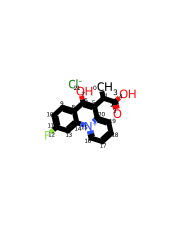 CC(C(=O)O)c1c(O)c2ccc(F)cc2[n+]2ccccc12.[Cl-]